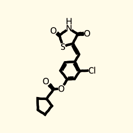 O=C1NC(=O)/C(=C/c2ccc(OC(=O)C3CCCC3)cc2Cl)S1